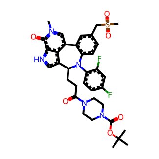 Cn1cc2c3c(c[nH]c3c1=O)C(CCC(=O)N1CCN(C(=O)OC(C)(C)C)CC1)N(c1ccc(F)cc1F)c1ccc(CS(C)(=O)=O)cc1-2